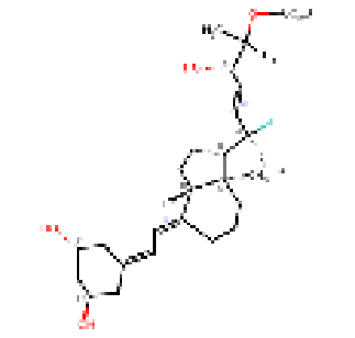 CCOC(=O)OC(C)(C)[C@@H](O)/C=C/[C@@](C)(F)[C@H]1CC[C@H]2/C(=C/C=C3C[C@@H](O)C[C@H](O)C3)CCC[C@@]21C